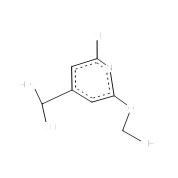 CCOc1cc(C(C)C)cc(Cl)n1